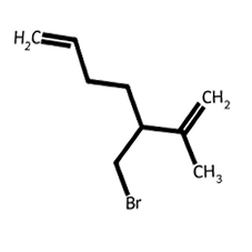 C=CCCC(CBr)C(=C)C